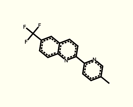 Cc1ccc(-c2ccc3cc(C(F)(F)F)ccc3n2)nc1